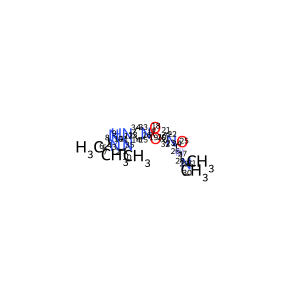 Cc1cn2c(C(C)C)cnc2c(NC2CCN(C(=O)O[C@H]3CCN(C(=O)/C=C/CN(C)C)C3)CC2)n1